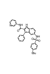 CC(C)(C)c1ccc(S(=O)(=O)Nc2ccc3[nH]c(C(=O)Nc4cccnc4)c(-c4ccccc4)c3c2)cc1